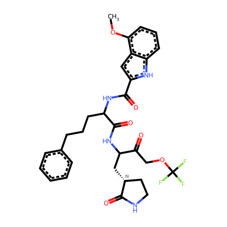 COc1cccc2[nH]c(C(=O)NC(CCCc3ccccc3)C(=O)NC(C[C@@H]3CCNC3=O)C(=O)COC(F)(F)F)cc12